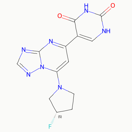 O=c1[nH]cc(-c2cc(N3CC[C@H](F)C3)n3ncnc3n2)c(=O)[nH]1